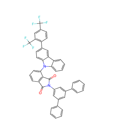 O=C1c2cccc(-n3c4ccccc4c4cc(-c5ccc(C(F)(F)F)cc5C(F)(F)F)ccc43)c2C(=O)N1c1cc(-c2ccccc2)cc(-c2ccccc2)c1